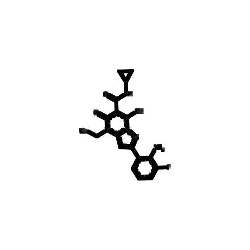 CC(C)(C)Cn1c(=O)c(C(=O)NC2CC2)c(O)n2nc(-c3cccc(F)c3N)cc12